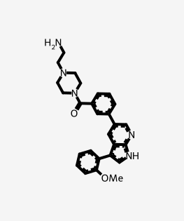 COc1ccccc1-c1c[nH]c2ncc(-c3cccc(C(=O)N4CCN(CCN)CC4)c3)cc12